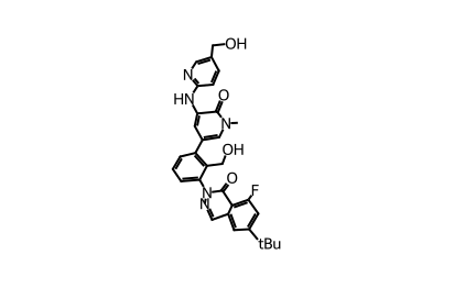 Cn1cc(-c2cccc(-n3ncc4cc(C(C)(C)C)cc(F)c4c3=O)c2CO)cc(Nc2ccc(CO)cn2)c1=O